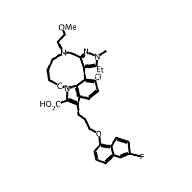 CCc1c2c(nn1C)CN(CCOC)CCCCn1c(C(=O)O)c(CCCOc3cccc4cc(F)ccc34)c3ccc(Cl)c-2c31